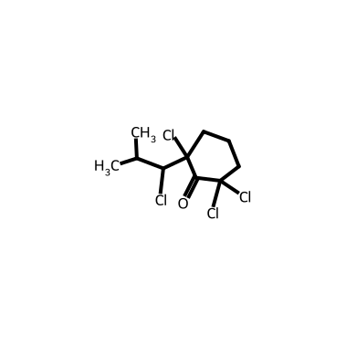 CC(C)C(Cl)C1(Cl)CCCC(Cl)(Cl)C1=O